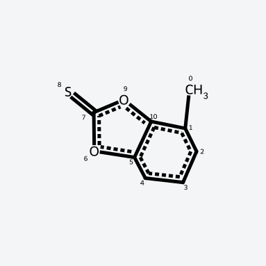 Cc1cccc2oc(=S)oc12